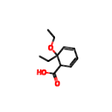 CCOC1(CC)C=CC=CC1C(=O)O